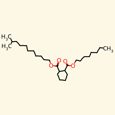 CCCCCCCCOC(=O)C1CCCCC1C(=O)OCCCCCCCCCC(C)C